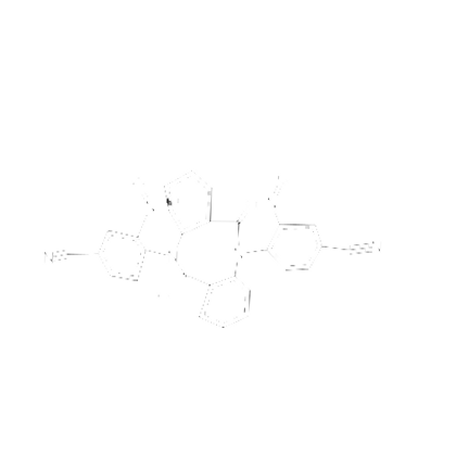 N#Cc1ccc(N2C(=O)c3ccccc3N(c3ccc(C#N)cc3[N+](=O)[O-])C(=O)c3ccccc32)c(N=O)c1